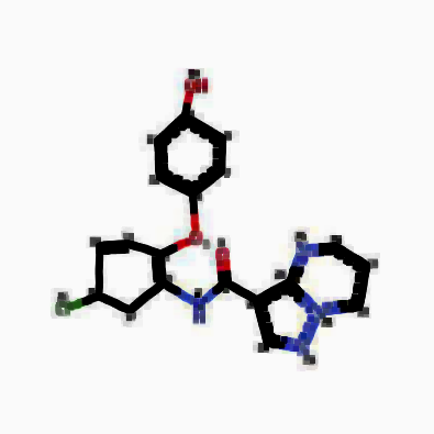 O=C(NC1=C(Oc2ccc(O)cc2)C=CC(Cl)C1)c1cnn2cccnc12